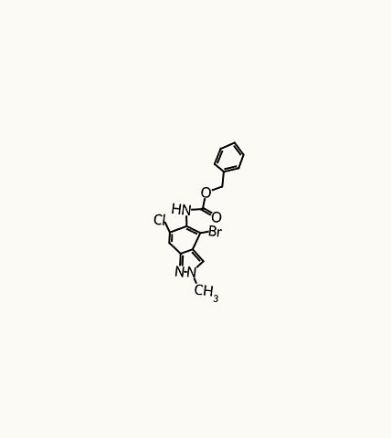 Cn1cc2c(Br)c(NC(=O)OCc3ccccc3)c(Cl)cc2n1